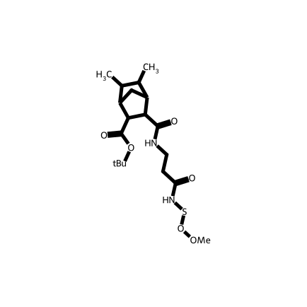 COOSNC(=O)CCNC(=O)C1C2CC(C(C)C2C)C1C(=O)OC(C)(C)C